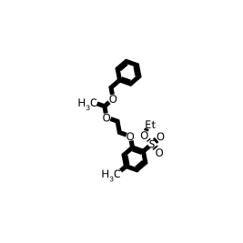 CCOS(=O)(=O)c1ccc(C)cc1OCCOC(C)OCc1ccccc1